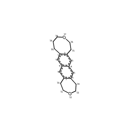 c1c2c(cc3cc4c(cc13)CCOCC4)CCOCCC2